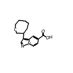 O=C(O)c1ccn2ncc(C3CCCCCCC3)c2c1